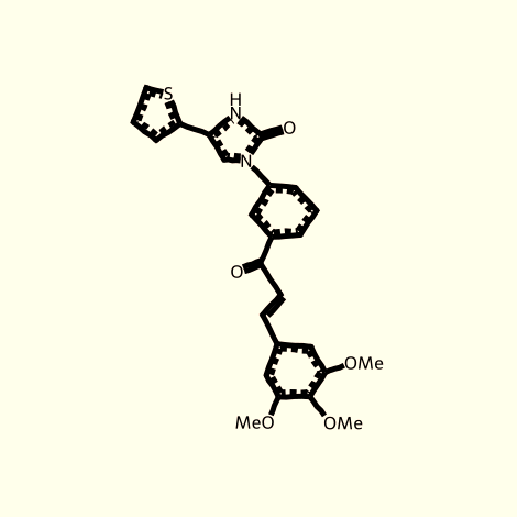 COc1cc(C=CC(=O)c2cccc(-n3cc(-c4cccs4)[nH]c3=O)c2)cc(OC)c1OC